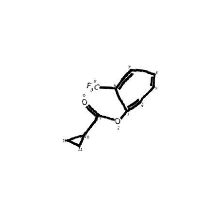 O=C(Oc1ccccc1C(F)(F)F)C1CC1